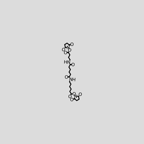 O=C(CCCCC(=O)NCCCC(=O)ON1C(=O)CCC1=O)NCCCCCC(=O)ON1C(=O)CCC1=O